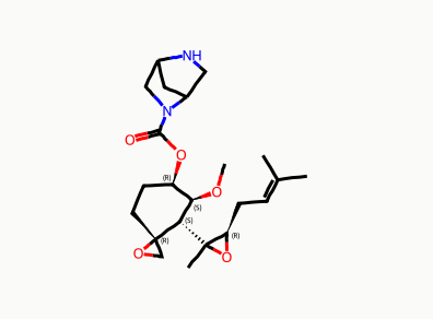 CO[C@H]1[C@H](C2(C)O[C@@H]2CC=C(C)C)[C@]2(CC[C@H]1OC(=O)N1CC3CC1CN3)CO2